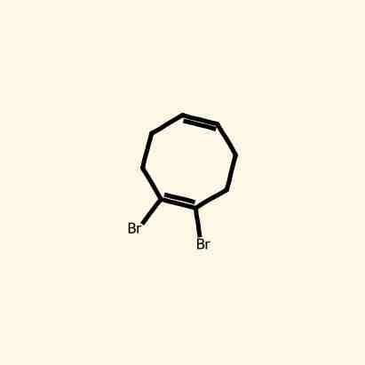 Br/C1=C(\Br)CC/C=C\CC1